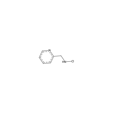 ClNCc1ccccn1